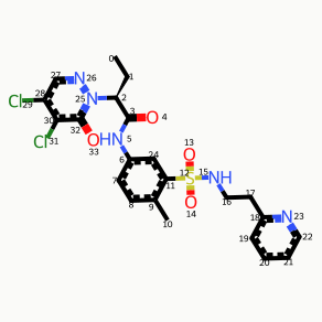 CC[C@@H](C(=O)Nc1ccc(C)c(S(=O)(=O)NCCc2ccccn2)c1)n1ncc(Cl)c(Cl)c1=O